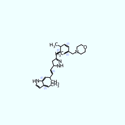 C/C=c1/cc[nH]/c1=C/C(C)/C=C/C1CC(/C=C/C(C)/C=C\C(=C/C)CN2CCOCC2)=NN1